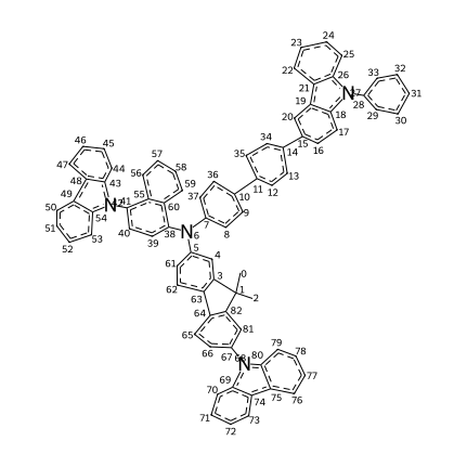 CC1(C)c2cc(N(c3ccc(-c4ccc(-c5ccc6c(c5)c5ccccc5n6-c5ccccc5)cc4)cc3)c3ccc(-n4c5ccccc5c5ccccc54)c4ccccc34)ccc2-c2ccc(-n3c4ccccc4c4ccccc43)cc21